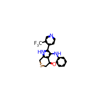 O=C1CSCc2[nH]c(-c3ccncc3C(F)(F)F)c(Nc3ccccc3)c21